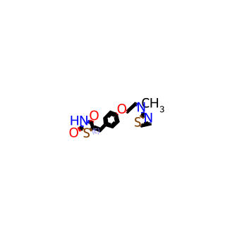 CN(CCOc1ccc(/C=C2/SC(=O)NC2=O)cc1)c1nccs1